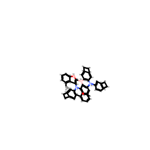 Cc1cc2c3c(c1)N(c1cc4c(cc1-c1ccccc1)CC4)c1c(oc4cccc(C(C)(C)C)c14)B3c1cc3c(cc1N2c1ccc2c(c1)CC2)CC3